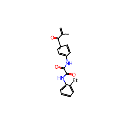 C=C(C)C(=O)c1ccc(NC(=O)C(=O)Nc2ccccc2CC)cc1